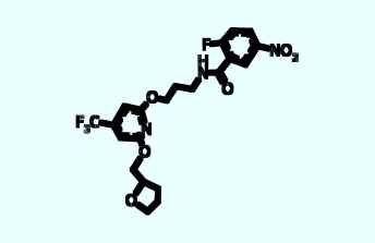 O=C(NCCCOc1cc(C(F)(F)F)cc(OCC2CCCO2)n1)c1cc([N+](=O)[O-])ccc1F